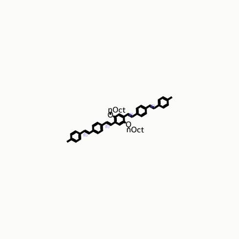 CCCCCCCCOc1cc(/C=C/c2ccc(/C=C/c3ccc(C)cc3)cc2)c(OCCCCCCCC)cc1/C=C/c1ccc(/C=C/c2ccc(C)cc2)cc1